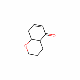 O=C1C=CCC2OCCCC12